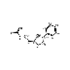 C=C(C)COCC1CSC(c2ccccc2)S1